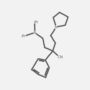 CC(C)N(CCC(C#N)(CCN1CCCC1)c1ccccc1)C(C)C